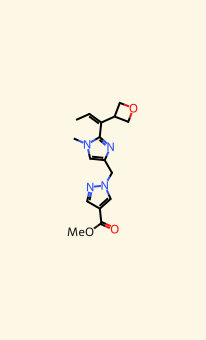 C/C=C(\c1nc(Cn2cc(C(=O)OC)cn2)cn1C)C1COC1